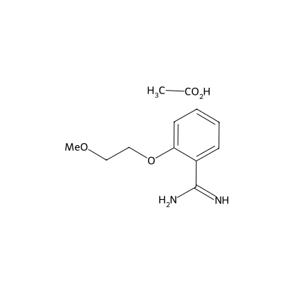 CC(=O)O.COCCOc1ccccc1C(=N)N